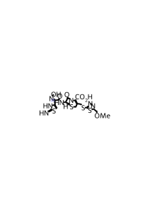 COCc1nnc(SCC2=C(C(=O)O)N3C(=O)C(NC(=O)/C(=N\O)c4csc(=N)[nH]4)[C@H]3SC2)s1